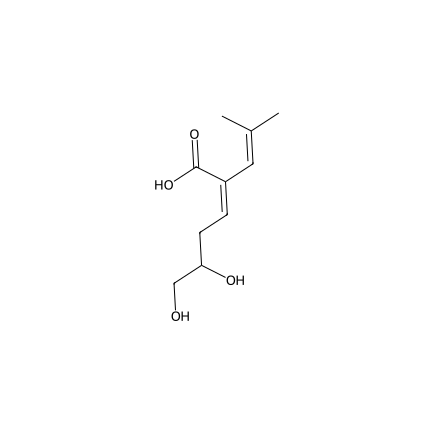 CC(C)=CC(=CCC(O)CO)C(=O)O